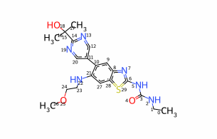 CCNC(=O)Nc1nc2cc(-c3cnc(C(C)(C)O)nc3)c(NCCOC)cc2s1